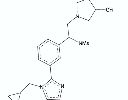 CNC(CN1CCC(O)C1)c1cccc(-c2nccn2CC2CC2)c1